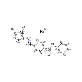 Cc1csc(/N=N/c2ccc(N(C)Cc3ccccc3)cc2)[n+]1C.[Br-]